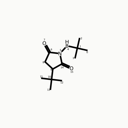 CC(C)(C)BN1C(=O)CC(C(C)(C)C)C1=O